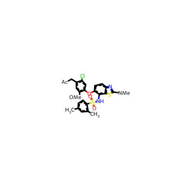 CNc1nc2ccc(Oc3cc(Cl)c(CC(C)=O)cc3OC)c(NS(=O)(=O)c3ccc(C)cc3C)c2s1